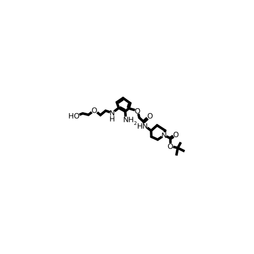 CC(C)(C)OC(=O)N1CCC(NC(=O)COc2cccc(NCCOCCO)c2N)CC1